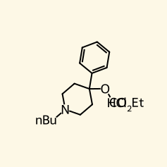 CCCCN1CCC(OC(=O)OCC)(c2ccccc2)CC1.Cl